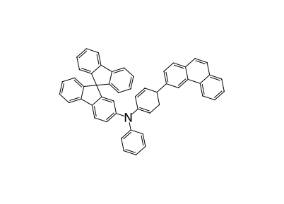 C1=CC(c2ccc3ccc4ccccc4c3c2)CC=C1N(c1ccccc1)c1ccc2c(c1)C1(c3ccccc3-c3ccccc31)c1ccccc1-2